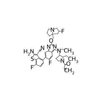 C=CC(=O)N1CCC(N(CC)c2nc(OCC34CCCN3CC(F)C4)nc3cc(-c4ccc(F)c5sc(N)c(C#N)c45)c(F)cc23)C1CC